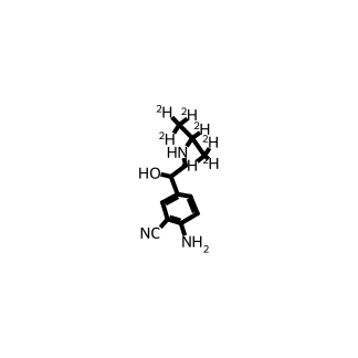 [2H]C([2H])([2H])C([2H])(NCC(O)c1ccc(N)c(C#N)c1)C([2H])([2H])[2H]